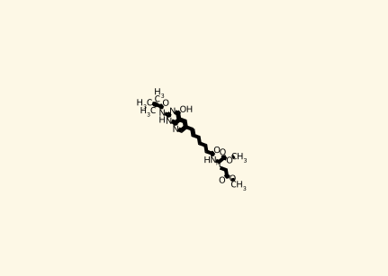 COC(=O)CC[C@H](NC(=O)CCCCC=Cc1cnc2nc(NC(=O)C(C)(C)C)nc(O)c2c1)C(=O)OC